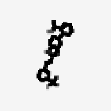 CC(O)c1ccccc1-c1ccc2[nH]c(C=Cc3cccc(C(F)(F)F)c3)nc2c1